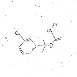 C=C(NC(C)C)OC(C)(C)c1cccc(Cl)c1